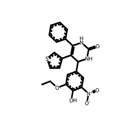 CCOc1cc(C2NC(=O)NC(c3ccccc3)=C2c2ccsc2)cc([N+](=O)[O-])c1O